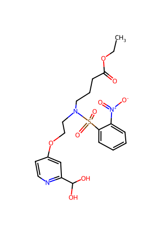 CCOC(=O)CCCN(CCOc1ccnc(C(O)O)c1)S(=O)(=O)c1ccccc1[N+](=O)[O-]